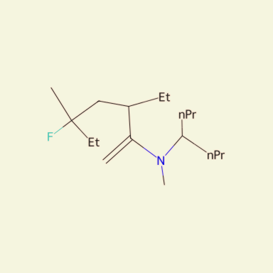 C=C(C(CC)CC(C)(F)CC)N(C)C(CCC)CCC